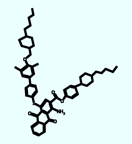 CCCCCC1CCC(COc2c(C)cc(-c3ccc(Sc4cc(C(=O)Oc5ccc(C6CCC(CCCCC)CC6)cc5)c(N)c5c4C(=O)c4ccccc4C5=O)cc3)cc2C)CC1